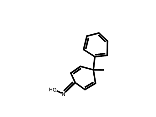 CC1(c2ccccc2)C=CC(=NO)C=C1